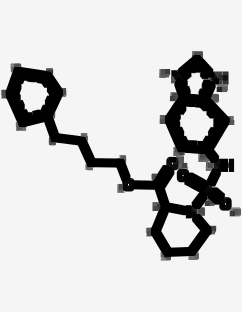 O=C(OCCCCc1ccccc1)C1CCCCN1S(=O)(=O)Nc1ccc2nc[nH]c2c1